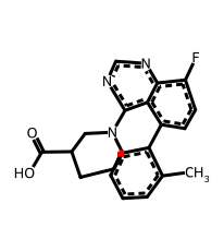 Cc1ccccc1-c1ccc(F)c2ncnc(N3CCCC(C(=O)O)C3)c12